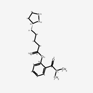 CN(C)C(=O)c1ccccc1OC(=O)CCCC[C@@H]1CCSS1